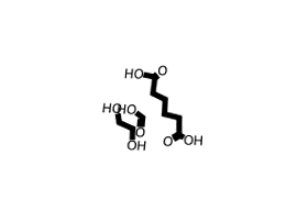 O=C(O)CCCCC(=O)O.O=CO.OCCO